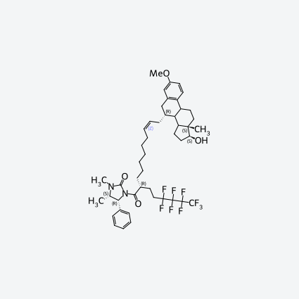 COc1ccc2c(c1)C[C@@H](C/C=C\CCCCCC[C@H](CCC(F)(F)C(F)(F)C(F)(F)C(F)(F)F)C(=O)N1C(=O)N(C)[C@@H](C)[C@H]1c1ccccc1)C1C2CC[C@@]2(C)C1CC[C@@H]2O